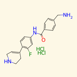 Cl.Cl.NCc1ccc(C(=O)Nc2ccc(C3=CCNCC3)c(F)c2)cc1